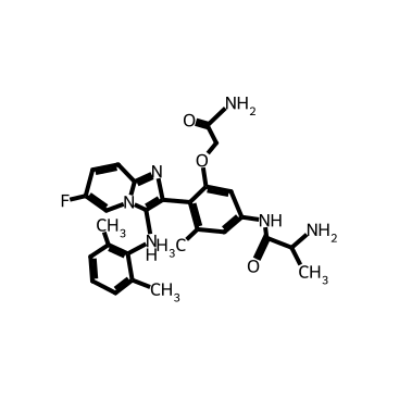 Cc1cccc(C)c1Nc1c(-c2c(C)cc(NC(=O)C(C)N)cc2OCC(N)=O)nc2ccc(F)cn12